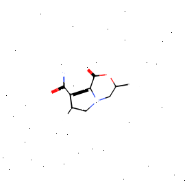 CC1CN2CC(C)C(C(N)=O)=C2C(=O)O1